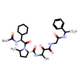 CCCC(NC(=O)[C@@H]1CCC(C)N1C(=O)[C@@H](NC(=O)OCC(C)C)C1CCCCC1)C(=O)C(=O)NCC(=O)NC(C(=O)O)c1ccccc1